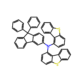 c1ccc(C2(c3ccccc3)c3ccccc3-c3cc(N(c4cccc5sc6ccccc6c45)c4cccc5sc6ccccc6c45)ccc32)cc1